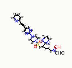 O=CN(O)CCCC(CS(=O)(=O)N1CCN(c2ncc(C#Cc3ccccn3)cn2)CC1)c1ncccn1